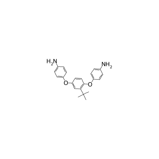 CC(C)(C)c1cc(Oc2ccc(N)cc2)ccc1Oc1ccc(N)cc1